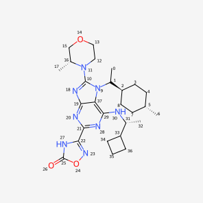 CC([C@H]1CC[C@H](C)CC1)n1c(N2CCOC[C@H]2C)nc2nc(-c3noc(=O)[nH]3)nc(N[C@H](C)C3CCC3)c21